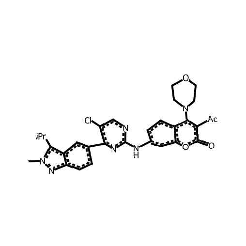 CC(=O)c1c(N2CCOCC2)c2ccc(Nc3ncc(Cl)c(-c4ccc5nn(C)c(C(C)C)c5c4)n3)cc2oc1=O